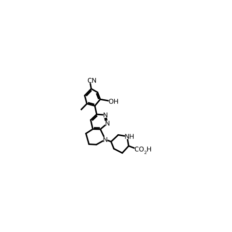 Cc1cc(C#N)cc(O)c1-c1cc2c(nn1)N(C1CCC(C(=O)O)NC1)CCC2